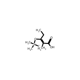 CCC(O[Si](C)(C)C)=C(C)C(=O)O